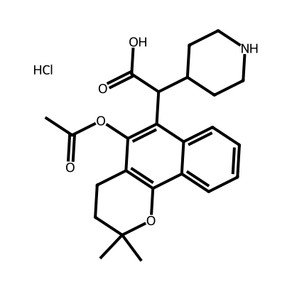 CC(=O)Oc1c2c(c3ccccc3c1C(C(=O)O)C1CCNCC1)OC(C)(C)CC2.Cl